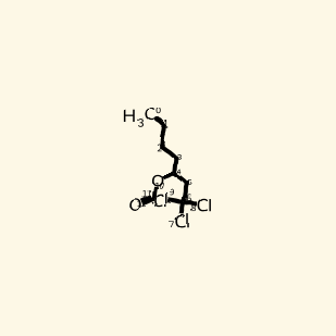 CCCCC(CC(Cl)(Cl)Cl)O[C]=O